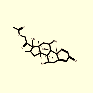 CC(=O)OCC(=O)[C@@]1(O)C(C)C[C@H]2[C@@H]3C(Br)CC4=CC(=O)C=C[C@]4(C)[C@@]3(Cl)C(O)C[C@@]21C